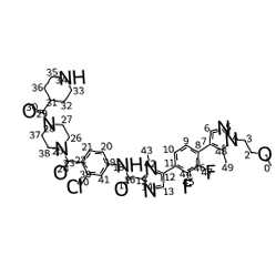 COCCn1ncc(-c2ccc(-c3cnc(C(=O)Nc4ccc(C(=O)N5CCN(C(=O)C6CCNCC6)CC5)c(Cl)c4)n3C)c(F)c2F)c1C